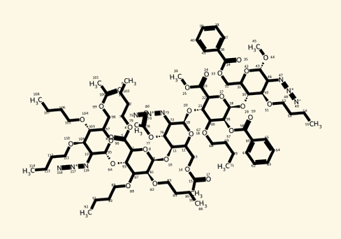 CCCCOC(=O)C1O[C@@H](O[C@@H]2C(COC(C)=O)O[C@H](O[C@@H]3C(C(=O)OC)O[C@@H](O[C@@H]4C(COC(=O)c5ccccc5)O[C@H](OC)C(N=[N+]=[N-])[C@H]4OCCCC)[C@@H](OC(=O)c4ccccc4)C3OCCCC)C(N=[N+]=[N-])[C@H]2OC(C)=O)[C@@H](OCCCC)C(OCCCC)[C@@H]1O[C@H]1OC(COC(C)=O)[C@@H](OCCCC)[C@H](OCCCC)C1N=[N+]=[N-]